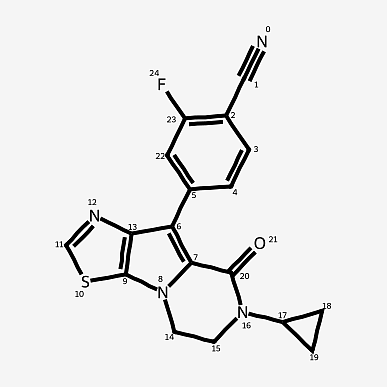 N#Cc1ccc(-c2c3n(c4scnc24)CCN(C2CC2)C3=O)cc1F